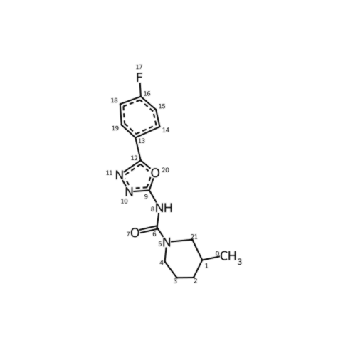 CC1CCCN(C(=O)Nc2nnc(-c3ccc(F)cc3)o2)C1